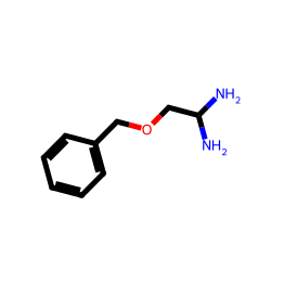 NC(N)COCc1ccccc1